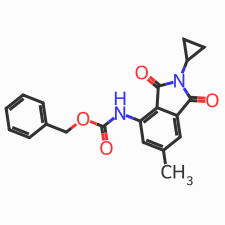 Cc1cc(NC(=O)OCc2ccccc2)c2c(c1)C(=O)N(C1CC1)C2=O